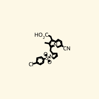 Cc1c(CC(=O)O)c2ccc(C#N)cn2c1Cc1cccn1S(=O)(=O)c1ccc(Cl)cc1